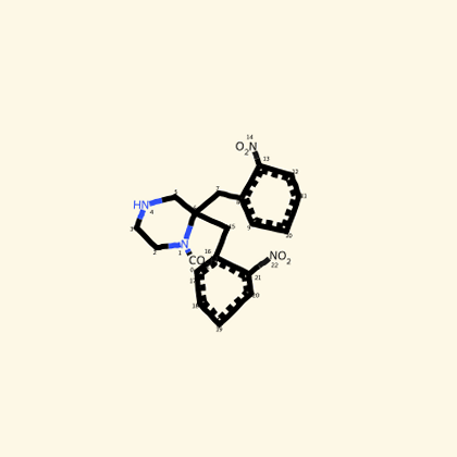 O=C(O)N1CCNCC1(Cc1ccccc1[N+](=O)[O-])Cc1ccccc1[N+](=O)[O-]